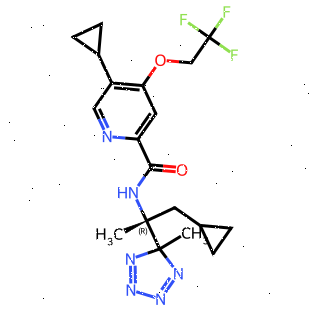 CC1([C@@](C)(CC2CC2)NC(=O)c2cc(OCC(F)(F)F)c(C3CC3)cn2)N=NN=N1